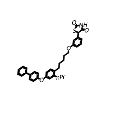 CCCc1cc(Oc2ccc(-c3ccccc3)cc2)ccc1CCCCCOc1cccc(C2SC(=O)NC2=O)c1